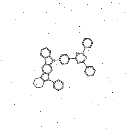 c1ccc(-c2nc(-c3ccccc3)nc(-c3ccc(-n4c5ccccc5c5cc6c7c(n(-c8ccccc8)c6cc54)CCCC7)cc3)n2)cc1